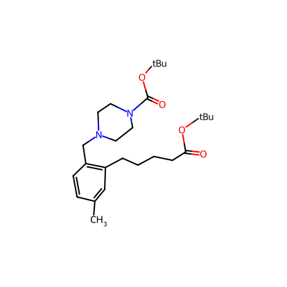 Cc1ccc(CN2CCN(C(=O)OC(C)(C)C)CC2)c(CCCCC(=O)OC(C)(C)C)c1